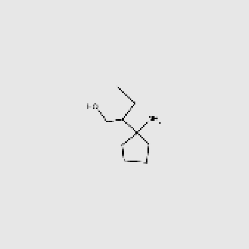 CCC(CO)C1(N)CCCC1